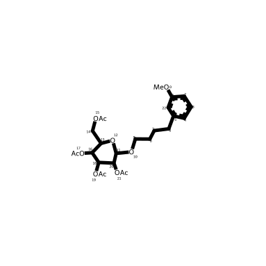 COc1cccc(CCCCOC2OC(COC(C)=O)C(OC(C)=O)C(OC(C)=O)C2OC(C)=O)c1